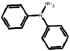 NN(c1[c]cccc1)c1ccccc1